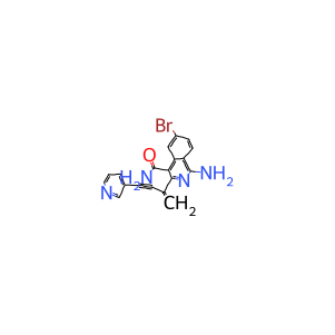 C=C(C#Cc1cccnc1)c1nc(N)c2ccc(Br)cc2c1C(N)=O